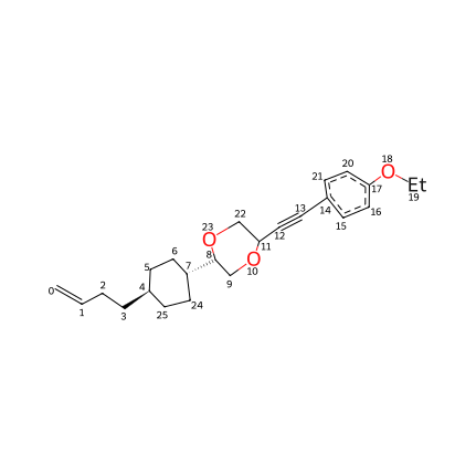 C=CCC[C@H]1CC[C@H](C2COC(C#Cc3ccc(OCC)cc3)CO2)CC1